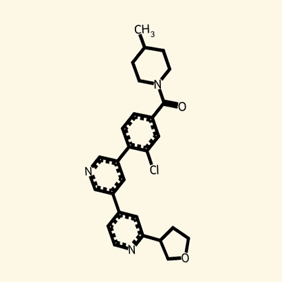 CC1CCN(C(=O)c2ccc(-c3cncc(-c4ccnc(C5CCOC5)c4)c3)c(Cl)c2)CC1